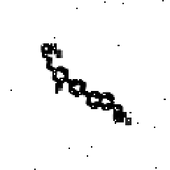 C=CCCc1ccc(-c2ccc(-c3ccc4cc(OC(F)(F)F)ccc4c3)cc2)c(F)c1